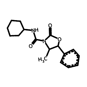 CC1C(c2ccccc2)OC(=O)N1C(=O)NC1CCCCC1